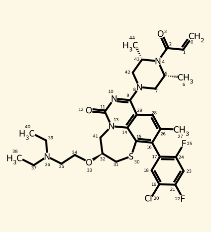 C=CC(=O)N1[C@H](C)CN(c2nc(=O)n3c4c(c(-c5cc(Cl)c(F)cc5F)c(C)cc24)SC[C@@H](OCCN(CC)CC)C3)C[C@@H]1C